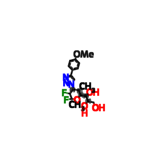 COc1ccc(-c2cn([C@H]3C(F)C(C)(F)O[C@@H]([C@H](O)[C@H](O)CO)[C@@H]3C)nn2)cc1